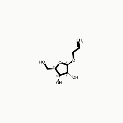 C=CCO[C@@H]1O[C@H](CO)[C@@H](O)[C@H]1O